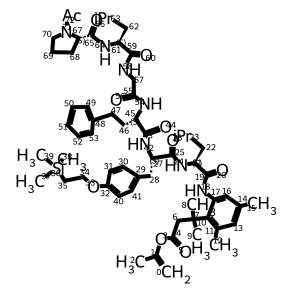 C=C(C)OC(=O)CC(C)(C)c1c(C)cc(C)cc1NC(=O)[C@H](CC(C)C)NC(=O)[C@H](Cc1ccc(OCC[Si](C)(C)C)cc1)NC(=O)[C@H](CCc1ccccc1)NC(=O)CNC(=O)[C@H](CC(C)C)NC(=O)[C@@H]1CCCN1C(C)=O